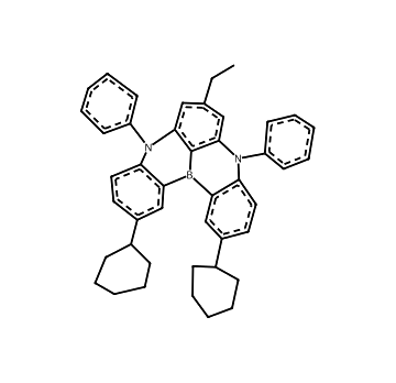 CCc1cc2c3c(c1)N(c1ccccc1)c1ccc(C4CCCCC4)cc1B3c1cc(C3CCCCC3)ccc1N2c1ccccc1